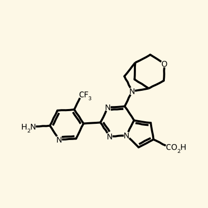 Nc1cc(C(F)(F)F)c(-c2nc(N3CC4COCC3C4)c3cc(C(=O)O)cn3n2)cn1